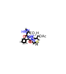 CC(=O)OCC1=C(C(=O)O)[N+]2(NC(=O)C(NC(=O)c3[nH]cnc3C(=O)O)c3ccccc3)C(=O)C[C@H]2SC1